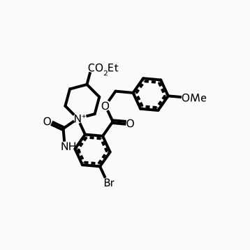 CCOC(=O)C1CC[N+](C(N)=O)(c2ccc(Br)cc2C(=O)OCc2ccc(OC)cc2)CC1